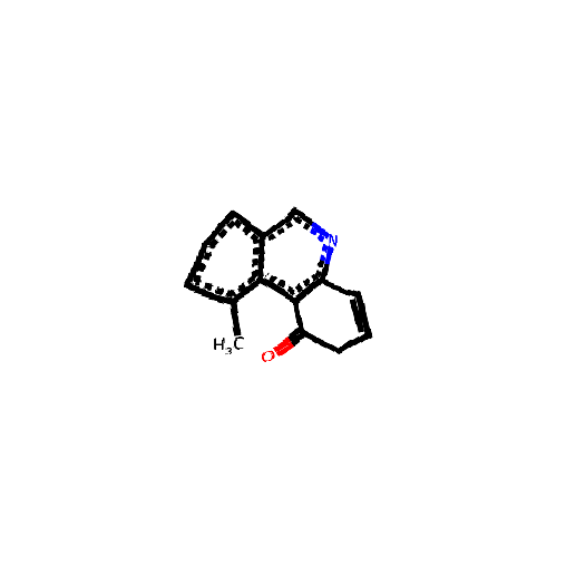 Cc1cccc2cnc3c(c12)C(=O)CC=C3